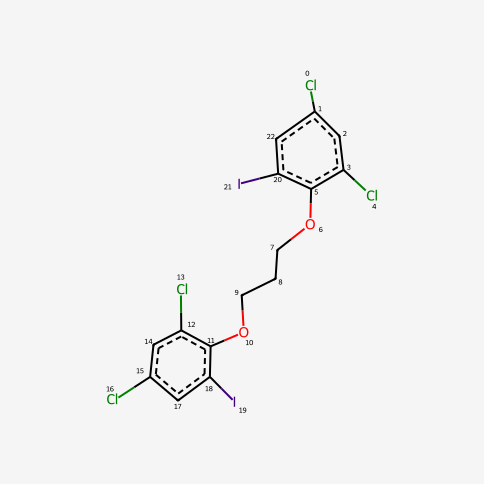 Clc1cc(Cl)c(OCCCOc2c(Cl)cc(Cl)cc2I)c(I)c1